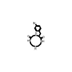 O=C1CNC(Cc2ccc(Br)cc2)C(=O)NCCNCCN1